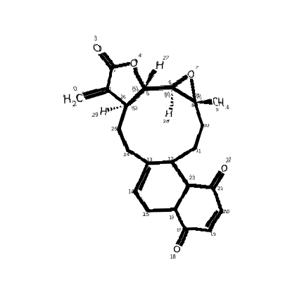 C=C1C(=O)O[C@@H]2[C@H]3O[C@]3(C)CCC3C(=CCC4C(=O)C=CC(=O)C43)CC[C@@H]12